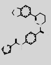 O=C(Nc1ccc(C(=O)N2CCCC(c3ccc4c(c3)OCO4)=N2)cc1)c1ccco1